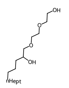 CCCCCCCCCCC(O)COCCOCCO